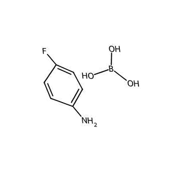 Nc1ccc(F)cc1.OB(O)O